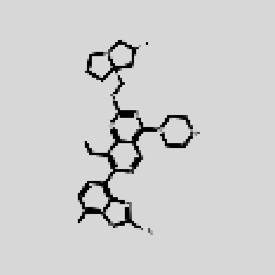 Nc1nc2c(-c3ncc4c(N5CCNCC5)nc(OC[C@@]56CCCN5C[C@H](F)C6)nc4c3CF)ccc(F)c2s1